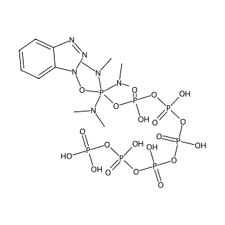 CN(C)P(On1nnc2ccccc21)(OP(=O)(O)OP(=O)(O)OP(=O)(O)OP(=O)(O)OP(=O)(O)OP(=O)(O)O)(N(C)C)N(C)C